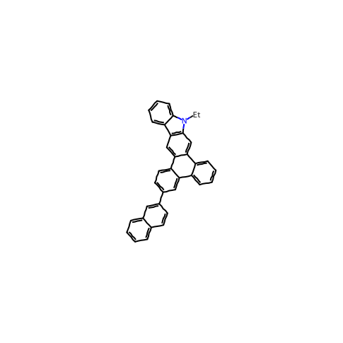 CCn1c2ccccc2c2cc3c4ccc(-c5ccc6ccccc6c5)cc4c4ccccc4c3cc21